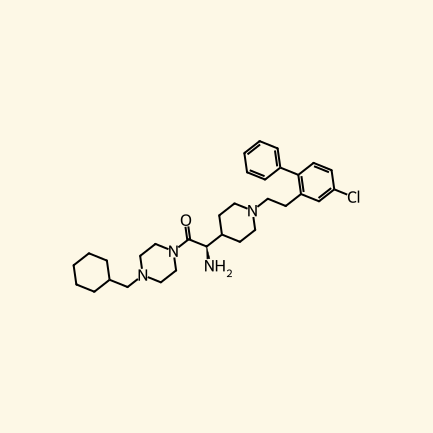 N[C@@H](C(=O)N1CCN(CC2CCCCC2)CC1)C1CCN(CCc2cc(Cl)ccc2-c2ccccc2)CC1